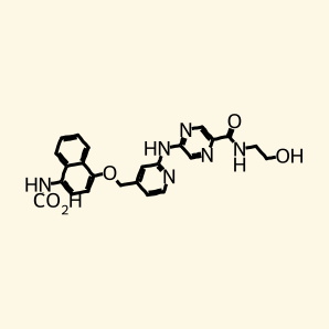 O=C(O)Nc1ccc(OCc2ccnc(Nc3cnc(C(=O)NCCO)cn3)c2)c2ccccc12